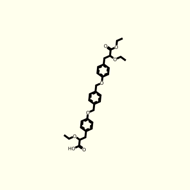 CCOC(=O)C(Cc1ccc(OCc2ccc(COc3ccc(CC(OCC)C(=O)O)cc3)cc2)cc1)OCC